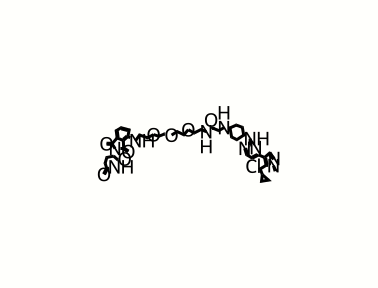 Cn1ncc(-c2nc(N[C@H]3CC[C@H](NCC(=O)NCCOCCOCCOCCNc4cccc5c4C(=O)N(C4CCC(=O)NC4=O)C5=O)CC3)ncc2Cl)c1CC1CC1